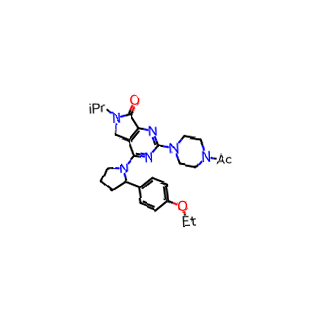 CCOc1ccc(C2CCCN2c2nc(N3CCN(C(C)=O)CC3)nc3c2CN(C(C)C)C3=O)cc1